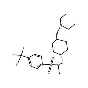 CCN(CC)C[C@H]1CC[C@H](CN(C)S(=O)(=O)c2ccc(C(F)(F)F)cc2)CC1